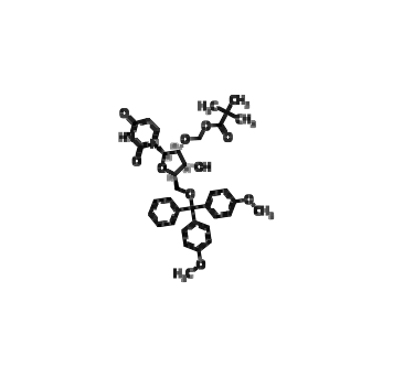 COc1ccc(C(OC[C@H]2O[C@@H](n3ccc(=O)[nH]c3=O)[C@H](OCOC(=O)C(C)(C)C)[C@@H]2O)(c2ccccc2)c2ccc(OC)cc2)cc1